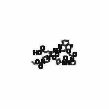 CCOC(=O)N1CCN(C(=O)[C@H](CCC(=O)O)NC(=O)c2cc(OCC(=O)N3CCC[C@H]3C(=O)NC3CCC3)c3c(F)cccc3n2)CC1